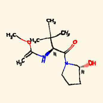 C=C(N[C@H](C(=O)N1CCC[C@H]1O)C(C)(C)C)OC